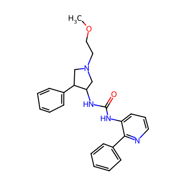 COCCN1CC(NC(=O)Nc2cccnc2-c2ccccc2)C(c2ccccc2)C1